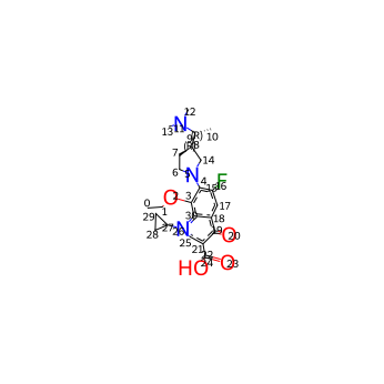 CCOc1c(N2CC[C@@H]([C@@H](C)N(C)C)C2)c(F)cc2c(=O)c(C(=O)O)cn(C3CC3)c12